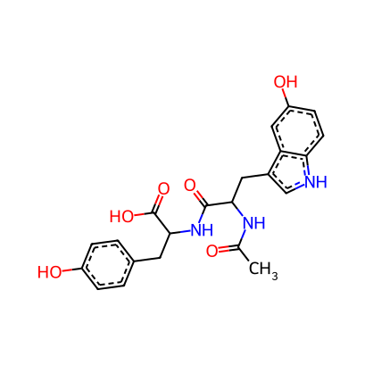 CC(=O)NC(Cc1c[nH]c2ccc(O)cc12)C(=O)NC(Cc1ccc(O)cc1)C(=O)O